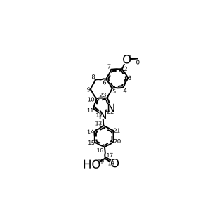 COc1ccc2c(c1)CCc1cn(-c3ccc(C(=O)O)cc3)nc1-2